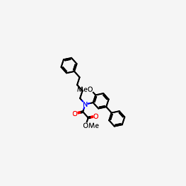 COC(=O)C(=O)N(CCCCc1ccccc1)c1cc(-c2ccccc2)ccc1OC